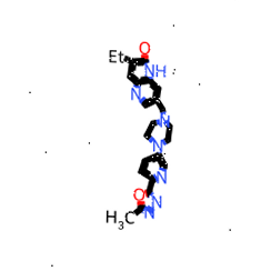 CCc1cc2ncc(CN3CCN(c4ccc(-c5nnc(C)o5)nc4)CC3)cc2[nH]c1=O